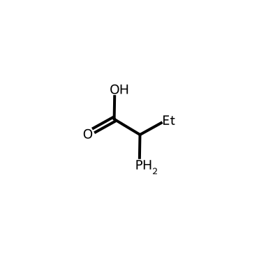 CCC(P)C(=O)O